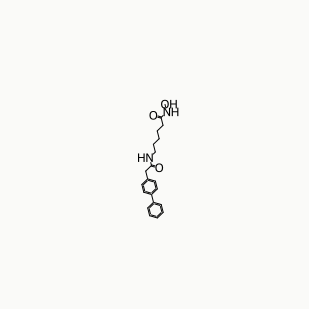 O=C(CCCCCNC(=O)Cc1ccc(-c2ccccc2)cc1)NO